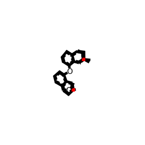 Cc1cc2cc(C)c1c1c(Oc3cccc4c5cc(C)c(c(C)c5)c34)cccc21